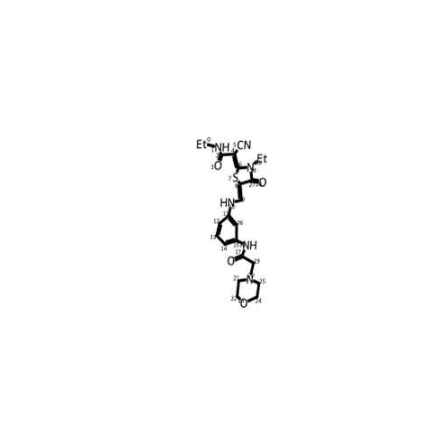 CCNC(=O)C(C#N)=c1sc(=CNc2cccc(NC(=O)CN3CCOCC3)c2)c(=O)n1CC